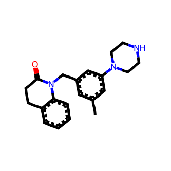 Cc1cc(CN2C(=O)CCc3ccccc32)cc(N2CCNCC2)c1